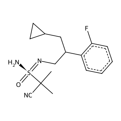 CC(C)(C#N)[S@](N)(=O)=NCC(CC1CC1)c1ccccc1F